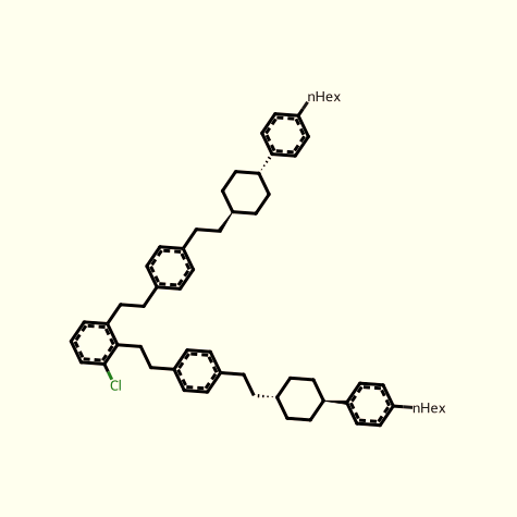 CCCCCCc1ccc([C@H]2CC[C@H](CCc3ccc(CCc4cccc(Cl)c4CCc4ccc(CC[C@H]5CC[C@H](c6ccc(CCCCCC)cc6)CC5)cc4)cc3)CC2)cc1